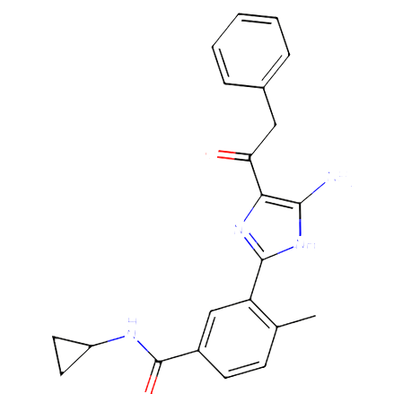 Cc1ccc(C(=O)NC2CC2)cc1-c1nc(C(=O)Cc2ccccc2)c(N)[nH]1